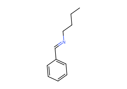 CCCC/N=C/c1ccccc1